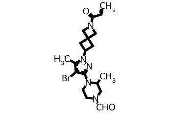 C=CC(=O)N1CC2(CC(n3nc(N4CCN(C=O)CC4C)c(Br)c3C)C2)C1